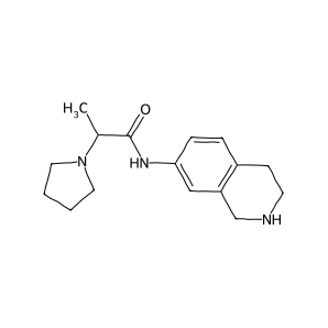 CC(C(=O)Nc1ccc2c(c1)CNCC2)N1CCCC1